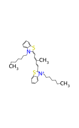 CCCCCCCN1\C(=C/C=C(C)/C=C/c2sc3ccccc3[n+]2CCCCCCC)Sc2ccccc21